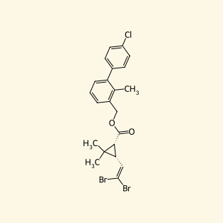 Cc1c(COC(=O)[C@@H]2[C@H](C=C(Br)Br)C2(C)C)cccc1-c1ccc(Cl)cc1